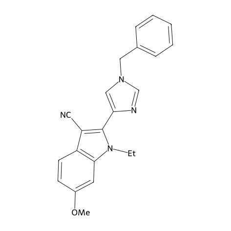 CCn1c(-c2cn(Cc3ccccc3)cn2)c(C#N)c2ccc(OC)cc21